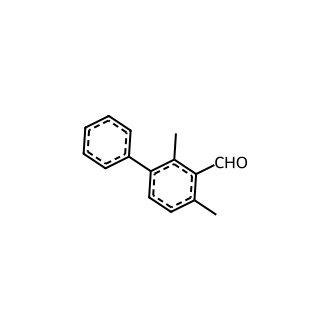 Cc1ccc(-c2ccccc2)c(C)c1C=O